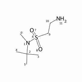 CN(C(C)(C)C)S(=O)(=O)CCN